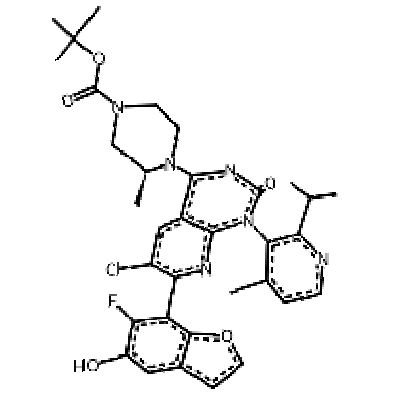 Cc1ccnc(C(C)C)c1-n1c(=O)nc(N2CCN(C(=O)OC(C)(C)C)C[C@@H]2C)c2cc(Cl)c(-c3c(F)c(O)cc4ccoc34)nc21